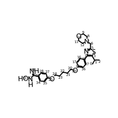 CC(C)c1sc(CN2CCOCC2)nc1-c1ccc(OCCCCCOc2ccc(C(=N)NO)cc2)cc1